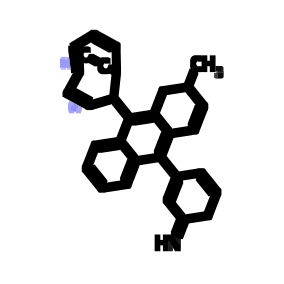 CC1C=Cc2c(c(C3/C=C\C=C4\C=CC3CC4)c3ccccc3c2C2=CC(=N)CC=C2)C1